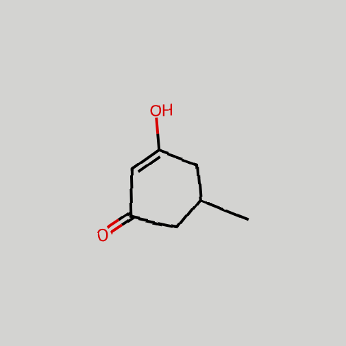 CC1CC(=O)C=C(O)C1